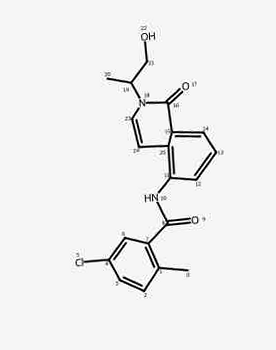 Cc1ccc(Cl)cc1C(=O)Nc1cccc2c(=O)n(C(C)CO)ccc12